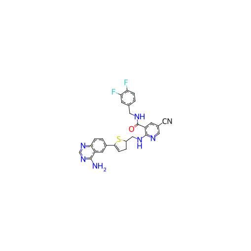 N#Cc1cnc(NCC2CC=C(c3ccc4ncnc(N)c4c3)S2)c(C(=O)NCc2ccc(F)c(F)c2)c1